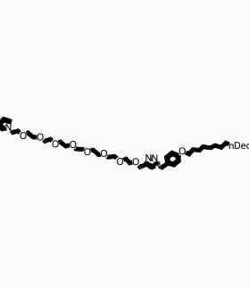 CCCCCCCCCCCCCCCCCCOc1ccc(Cn2cc(COCCOCCOCCOCCOCCOCCOCCOCCn3cccc3)nn2)cc1